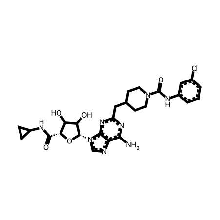 Nc1nc(CC2CCN(C(=O)Nc3cccc(Cl)c3)CC2)nc2c1ncn2[C@@H]1O[C@H](C(=O)NC2CC2)C(O)C1O